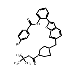 CC(C)(C)OC(=O)N1CCN(Cc2ccc3cc(-c4ccccc4NC(=O)c4ccc(Br)cc4)oc3c2)CC1